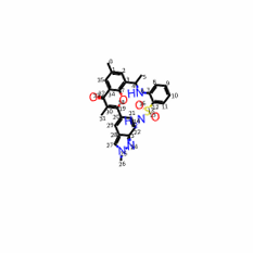 Cc1cc(C(C)Nc2ccccc2S(N)(=O)=O)c2oc(-c3ccc4nn(C)cc4c3)c(C)c(=O)c2c1